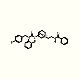 O=C(NCC[N+]12CCC(CC1)C(OC(=O)N(Cc1ccc(F)cc1)c1ccccc1F)C2)c1ccccc1